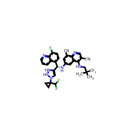 CC(C)(CNc1c(C#N)cnc2c(C#N)cc(N[C@H](C3=CN(C4(C(F)F)CC4)NN3)c3ccc(F)c4ncccc34)cc12)C(F)(F)F